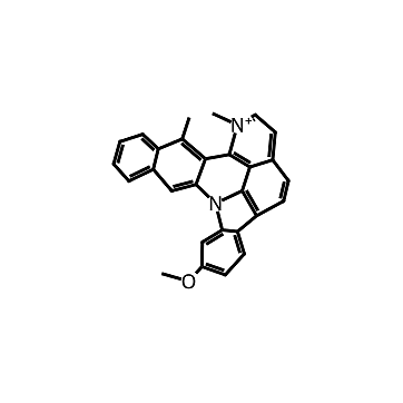 COc1ccc2c3ccc4cc[n+](C)c5c6c(C)c7ccccc7cc6n(c2c1)c3c45